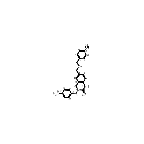 O=C1Nc2ccc(COCc3ccc(O)cc3)cc2CN1Cc1ccc(C(F)(F)F)cc1